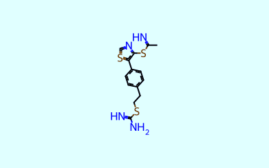 CC(=N)Sc1ncsc1-c1ccc(CCSC(=N)N)cc1